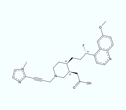 COc1ccc2nccc([C@@H](F)CC[C@@H]3CCN(CC#Cc4nccn4C)C[C@@H]3CC(=O)O)c2c1